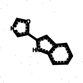 c1ccc2[nH]c(-c3cnco3)cc2c1